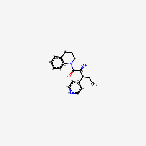 CCC(C(=N)C(=O)N1CCCc2ccccc21)c1ccncc1